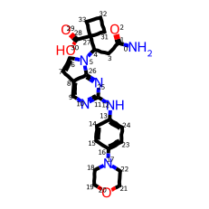 NC(=O)CC(n1ccc2cnc(Nc3ccc(N4CCOCC4)cc3)nc21)C1(C(=O)O)CCC1